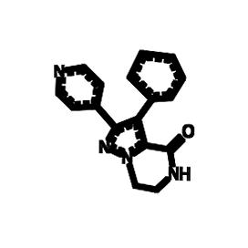 O=C1NCCn2nc(-c3ccncc3)c(-c3ccccc3)c21